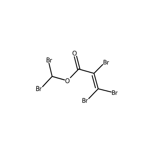 O=C(OC(Br)Br)C(Br)=C(Br)Br